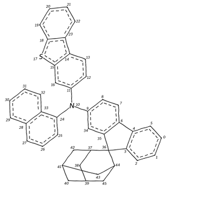 c1ccc2c(c1)-c1ccc(N(c3ccc4c(c3)sc3ccccc34)c3cccc4ccccc34)cc1C21C2CC3CC(C2)CC1C3